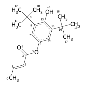 CC=CC(=O)Oc1cc(C(C)(C)C)c(O)c(C(C)(C)C)c1